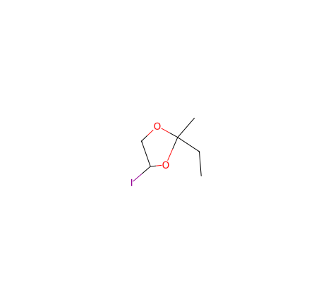 CCC1(C)OCC(I)O1